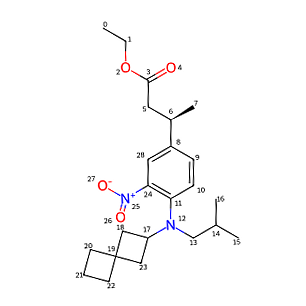 CCOC(=O)C[C@@H](C)c1ccc(N(CC(C)C)C2CC3(CCC3)C2)c([N+](=O)[O-])c1